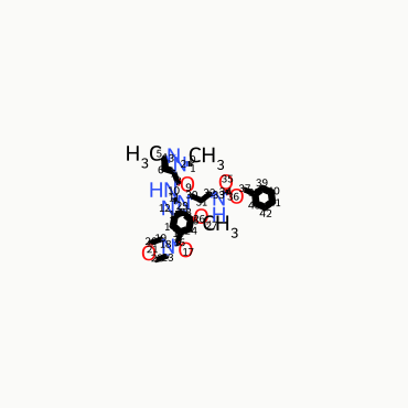 CCn1nc(C)cc1C(=O)Nc1nc2cc(C(=O)N3CCOCC3)cc(OC)c2n1CCCNC(=O)OCc1ccccc1